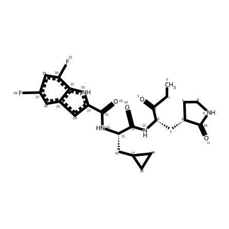 CCC(=O)[C@H](C[C@@H]1CCNC1=O)NC(=O)[C@H](CC1CC1)NC(=O)c1cc2cc(F)cc(F)c2[nH]1